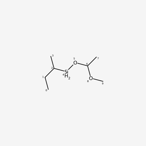 CCC(C)[SiH2]OC(C)OC